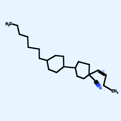 CC/C=C\C1(C#N)CCC(C2CCC(CCCCCCC)CC2)CC1